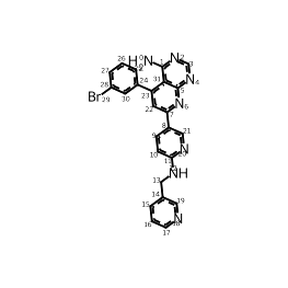 Nc1ncnc2nc(-c3ccc(NCc4cccnc4)nc3)cc(-c3cccc(Br)c3)c12